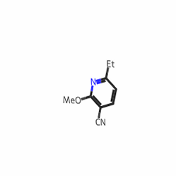 CCc1ccc(C#N)c(OC)n1